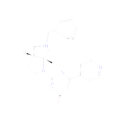 Cn1c(N2CC[C@@H]3CN(Cc4ccccc4)C[C@@H]32)nc(-c2ccncc2)cc1=O